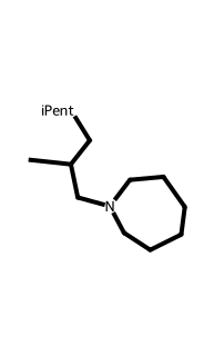 CCCC(C)CC(C)CN1CCCCCC1